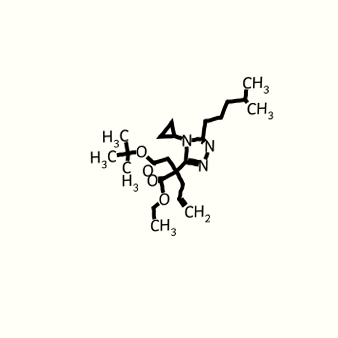 C=CCC(CC(=O)OC(C)(C)C)(C(=O)OCC)c1nnc(CCCC(C)C)n1C1CC1